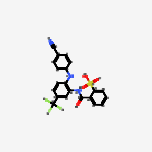 N#Cc1ccc(Nc2ccc(C(F)(F)F)cc2NC(=O)c2ccccc2S(=O)(=O)O)cc1